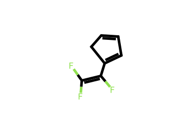 FC(F)=C(F)C1=CC=CC1